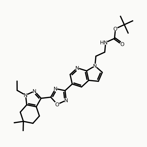 CCn1nc(-c2nc(-c3cnc4c(ccn4CCNC(=O)OC(C)(C)C)c3)no2)c2c1CC(C)(C)CC2